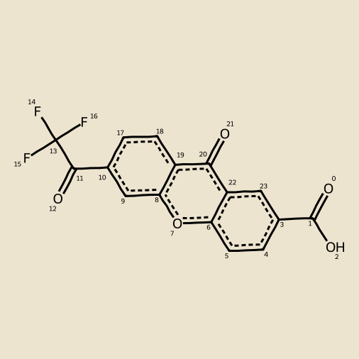 O=C(O)c1ccc2oc3cc(C(=O)C(F)(F)F)ccc3c(=O)c2c1